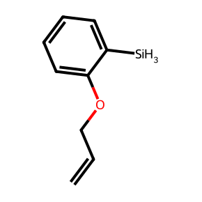 C=CCOc1ccccc1[SiH3]